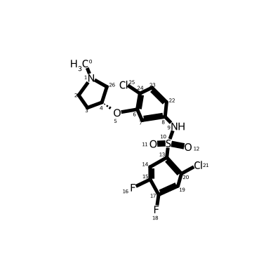 CN1CC[C@@H](Oc2cc(NS(=O)(=O)c3cc(F)c(F)cc3Cl)ccc2Cl)C1